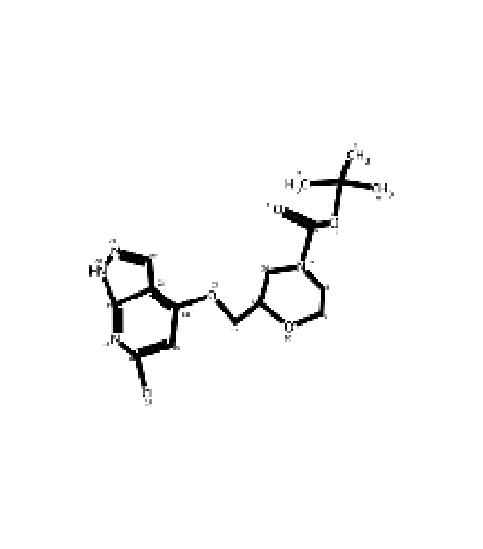 CC(C)(C)OC(=O)N1CCOC(COc2cc(Cl)nc3[nH]ncc23)C1